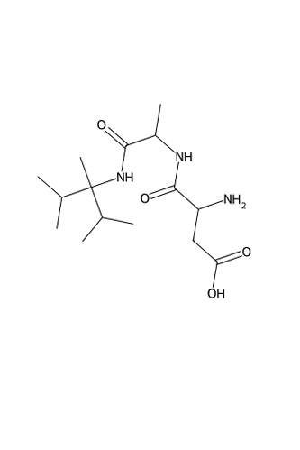 CC(NC(=O)C(N)CC(=O)O)C(=O)NC(C)(C(C)C)C(C)C